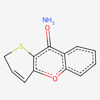 N.O=c1c2c(oc3ccccc13)C=CCS2